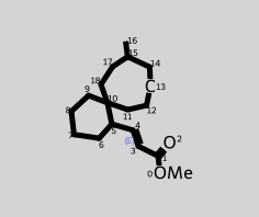 COC(=O)/C=C/C1CCCCC12CCCCC(C)CC2